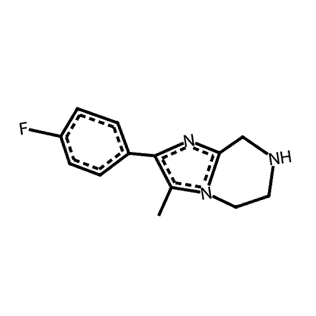 Cc1c(-c2ccc(F)cc2)nc2n1CCNC2